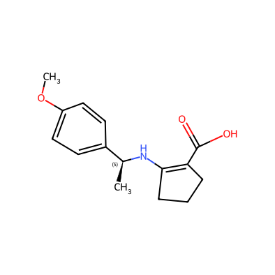 COc1ccc([C@H](C)NC2=C(C(=O)O)CCC2)cc1